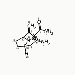 C=C1C(C(N)=O)=C(N)C[C@@H]2CCC1N2C